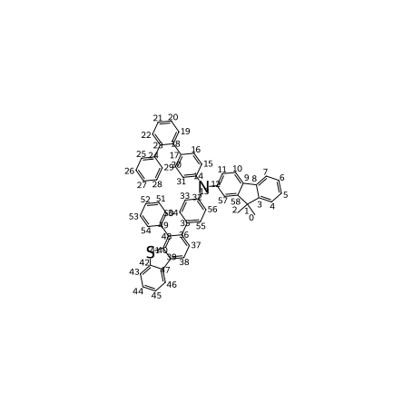 CC1(C)c2ccccc2-c2ccc(N(c3ccc(-c4ccccc4-c4ccccc4)cc3)c3ccc(-c4ccc5c(sc6ccccc65)c4-c4ccccc4)cc3)cc21